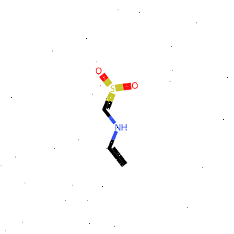 C=[C]NC=S(=O)=O